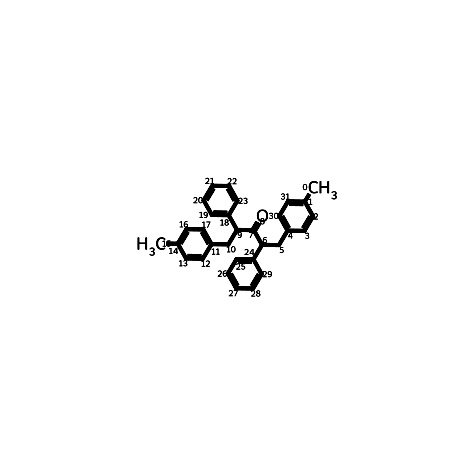 Cc1ccc(CC(C(=O)C(Cc2ccc(C)cc2)c2ccccc2)c2ccccc2)cc1